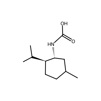 CC1CC[C@@H](C(C)C)[C@H](NC(=O)O)C1